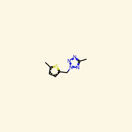 Cc1nnn(Cc2ccc(C)s2)n1